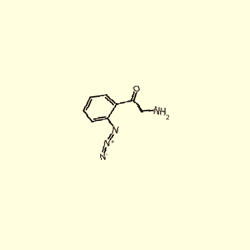 [N-]=[N+]=Nc1ccccc1C(=O)CN